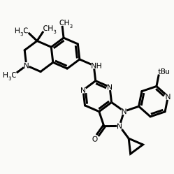 Cc1cc(Nc2ncc3c(=O)n(C4CC4)n(-c4ccnc(C(C)(C)C)c4)c3n2)cc2c1C(C)(C)CN(C)C2